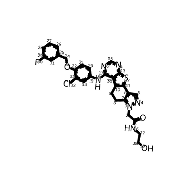 O=C(Cn1ncc2c1CCc1c-2sc2ncnc(Nc3ccc(OCc4cccc(F)c4)c(Cl)c3)c12)NCCO